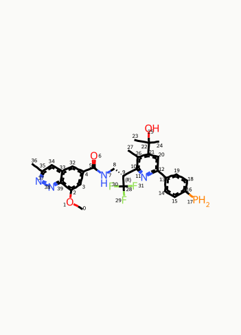 COc1cc(C(=O)NC[C@H](c2nc(-c3ccc(P)cc3)cc(C(C)(C)O)c2C)C(F)(F)F)cc2cc(C)nnc12